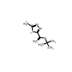 C=C(OC(C)(C)C)c1nnc(N)s1